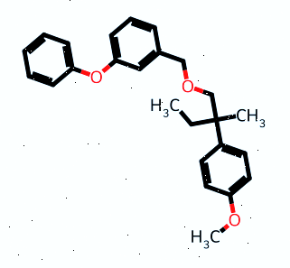 CCC(C)(COCc1cccc(Oc2ccccc2)c1)c1ccc(OC)cc1